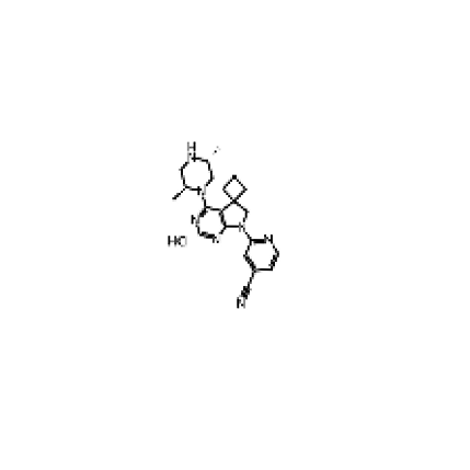 C[C@@H]1CN(c2ncnc3c2C2(CCC2)CN3c2cc(C#N)ccn2)[C@@H](C)CN1.Cl